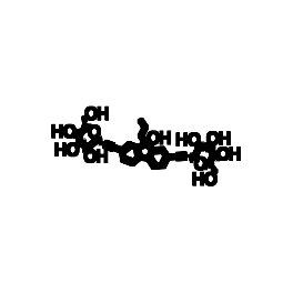 CCCC1(O)c2cc(C#C[C@H]3O[C@H](CO)[C@@H](O)[C@H](O)[C@@H]3O)ccc2-c2ccc(C#C[C@H]3O[C@H](CO)[C@@H](O)[C@H](O)[C@@H]3O)cc21